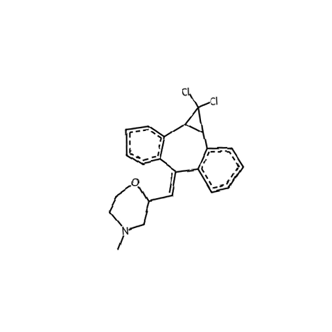 CN1CCOC(C=C2c3ccccc3C3C(c4ccccc42)C3(Cl)Cl)C1